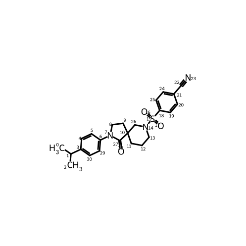 CC(C)c1ccc(N2CCC3(CCCN(S(=O)(=O)c4ccc(C#N)cc4)C3)C2=O)cc1